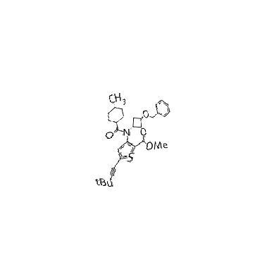 COC(=O)c1sc(C#CC(C)(C)C)cc1N(C(=O)[C@H]1CC[C@H](C)CC1)[C@H]1C[C@H](OCc2ccccc2)C1